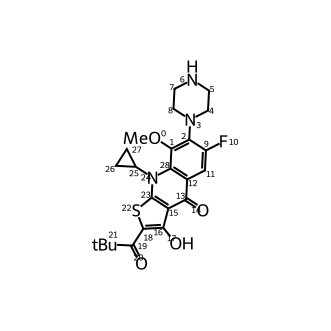 COc1c(N2CCNCC2)c(F)cc2c(=O)c3c(O)c(C(=O)C(C)(C)C)sc3n(C3CC3)c12